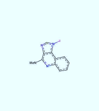 CNc1nc2ccccc2c2c1ncn2I